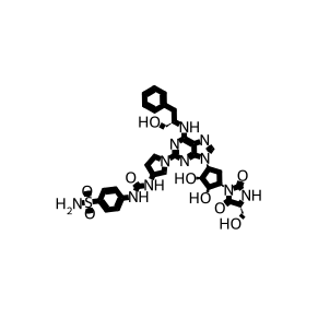 NS(=O)(=O)c1ccc(NC(=O)NC2CCN(c3nc(N[C@H](CO)Cc4ccccc4)c4ncn([C@@H]5C[C@H](N6C(=O)N[C@H](CO)C6=O)[C@@H](O)[C@H]5O)c4n3)C2)cc1